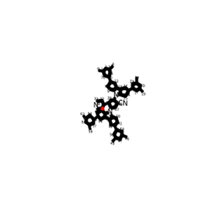 Cc1cc(C)cc(-c2ccc3c(c2)c2cc(-c4cc(C)cc(C)c4)ccc2n3-c2cc(-c3ccncc3)c(-n3c4ccc(-c5cc(C)cc(C)c5)cc4c4cc(-c5cc(C)cc(C)c5)ccc43)cc2C#N)c1